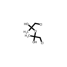 CC(O)(CCl)OC(C)(O)CCl